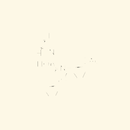 CC(=O)Oc1cccc(C(=O)N[C@@H](CSc2ccccc2)[C@H](O)CN2CC[C@@H]3CCCC[C@@H]3C2)c1C